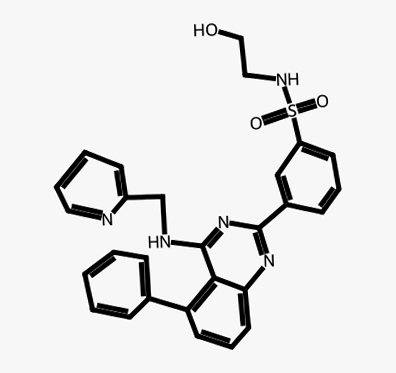 O=S(=O)(NCCO)c1cccc(-c2nc(NCc3ccccn3)c3c(-c4ccccc4)cccc3n2)c1